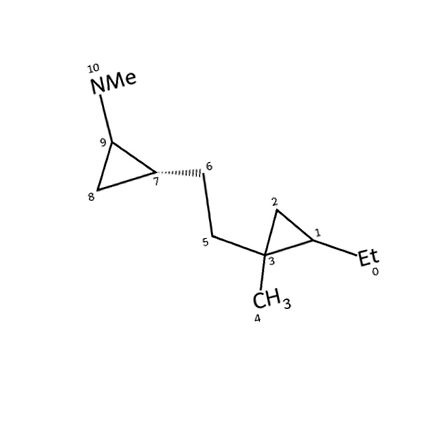 CCC1CC1(C)CC[C@@H]1CC1NC